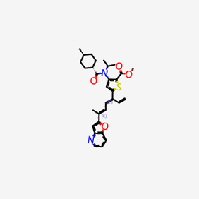 C=C/C(=C\C=C(/C)c1cc2ncccc2o1)c1cc(N(C(=O)[C@H]2CC[C@H](C)CC2)C(C)C)c(C(=O)OC)s1